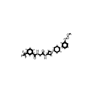 COOSc1cccc([C@H]2CC[C@@H](N3CC(NC(=O)CNC(=O)c4cccc(C(F)(F)F)c4)C3)CC2)c1